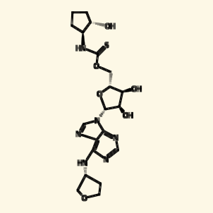 O[C@@H]1[C@H](O)[C@@H](COC(=S)N[C@H]2CCC[C@@H]2O)O[C@H]1n1cnc2c(N[C@@H]3CCOC3)ncnc21